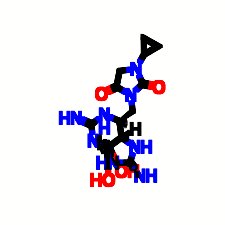 N=C1N[C@H]2[C@H](CN3C(=O)CN(C4CC4)C3=O)NC(=N)N3CCC(O)(O)[C@]23N1